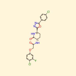 O=C(COc1ccc(Cl)c(F)c1)N[C@H]1CC[C@H](c2nnc(-c3ccc(Cl)cc3)o2)NC1=O